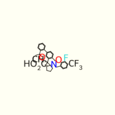 C=CC(=O)c1ccccc1-c1ccc2c(c1)C(C(=O)O)C1(CCCC1)N(Cc1ccc(C(F)(F)F)c(F)c1)C2=O